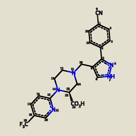 N#Cc1ccc(-c2n[nH]cc2CN2CCN(c3ccc(C(F)(F)F)cn3)[C@H](C(=O)O)C2)cc1